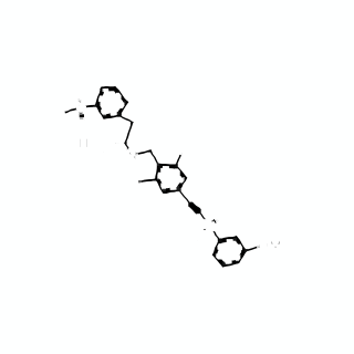 COc1cccc(P(=O)(O)C#Cc2cc(Cl)c(CN[C@@H](Cc3cccc(S(C)(=O)=O)c3)C(=O)O)c(Cl)c2)c1